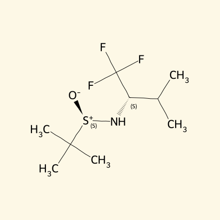 CC(C)[C@H](N[S@+]([O-])C(C)(C)C)C(F)(F)F